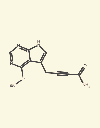 CCC(C)Oc1ncnc2[nH]cc(CC#CC(N)=O)c12